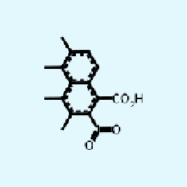 Cc1ccc2c(C(=O)O)c(I(=O)=O)c(C)c(C)c2c1C